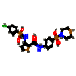 O=C(Nc1ccc(S(=O)(=O)N2CCSCC2)cc1)c1sccc1NS(=O)(=O)c1ccc(Cl)cc1